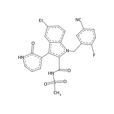 CCc1ccc2c(c1)c(-c1ccc[nH]c1=O)c(C(=O)NS(C)(=O)=O)n2Cc1cc(C#N)ccc1F